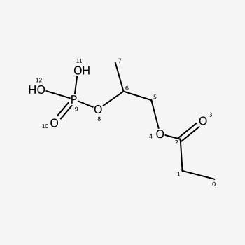 CCC(=O)OCC(C)OP(=O)(O)O